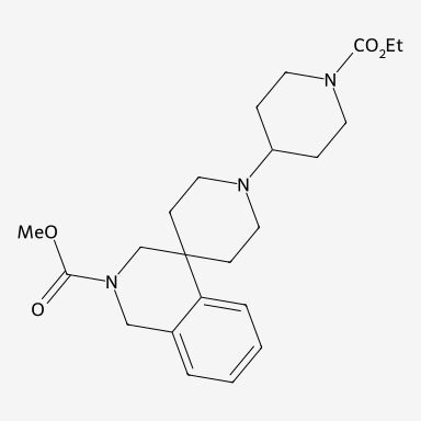 CCOC(=O)N1CCC(N2CCC3(CC2)CN(C(=O)OC)Cc2ccccc23)CC1